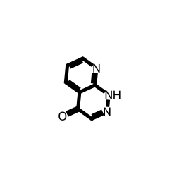 O=c1cn[nH]c2ncccc12